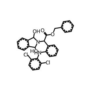 O=C(OCc1ccccc1)C(c1ccccc1Nc1c(Cl)cccc1Cl)N1C(O)c2ccccc2C1O